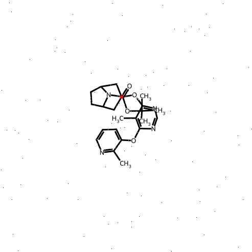 Cc1ncccc1Oc1ncnc(OC2CC3CCC(C2)N3C(=O)OC(C)(C)C)c1C